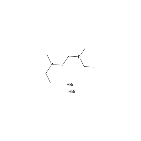 Br.Br.CCP(C)CCP(C)CC